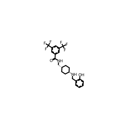 O=C(NC[C@H]1CC[C@@H](NCc2ccccc2O)CC1)c1cc(C(F)(F)F)cc(C(F)(F)F)c1